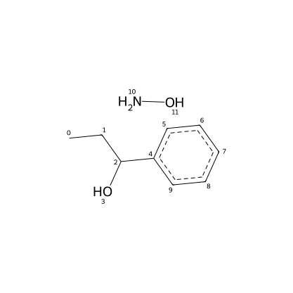 CCC(O)c1ccccc1.NO